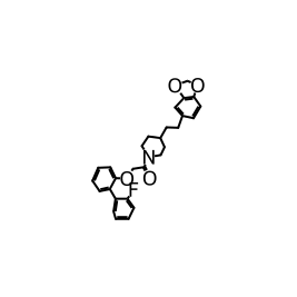 O=C(COc1ccccc1-c1ccccc1F)N1CCC(CCc2ccc3c(c2)OCO3)CC1